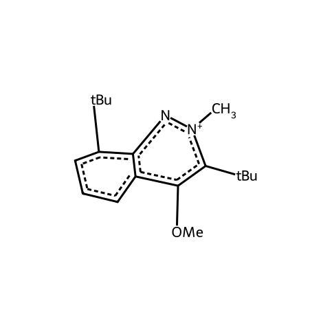 COc1c(C(C)(C)C)[n+](C)nc2c(C(C)(C)C)cccc12